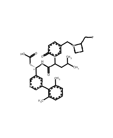 Cc1cccc(C)c1-c1cncc([C@H](CC(=O)O)NC(=O)C(CC(C)C)n2cc(CN3CCC3CF)ccc2=O)c1